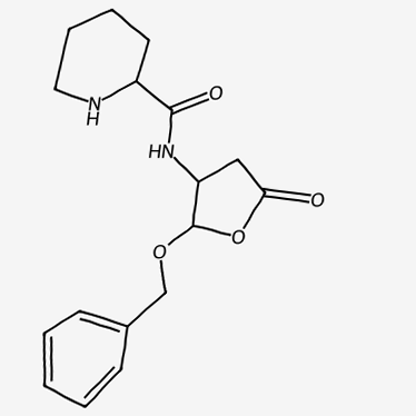 O=C1CC(NC(=O)C2CCCCN2)C(OCc2ccccc2)O1